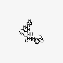 CSCCC(Nc1cc(C)nc(-n2ccnc2)n1)C(=O)NCc1ccc2c(c1)OCO2